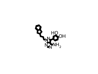 Nc1ncnc2c1c(-c1ccc(O)c(O)c1)nn2CCCC1Cc2ccccc2C1